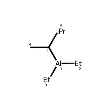 C[CH2][Al]([CH2]C)[CH](C)C(C)C